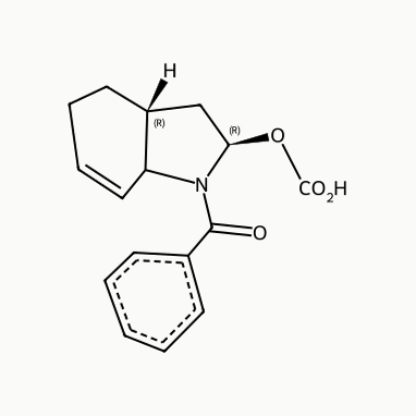 O=C(O)O[C@@H]1C[C@H]2CCC=CC2N1C(=O)c1ccccc1